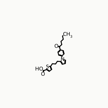 CCCCCC(=O)c1ccc(-n2cccc2CCCc2ccc(C(=O)O)s2)cc1